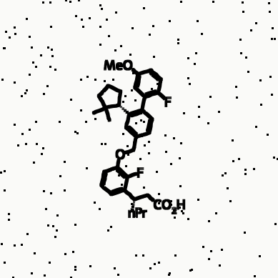 CCC[C@@H](CC(=O)O)c1cccc(OCc2ccc(-c3cc(OC)ccc3F)c([C@H]3CCCC3(C)C)c2)c1F